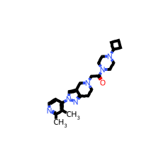 Cc1nccc(-n2cc3c(n2)CCN(CC(=O)N2CCN(C4CCC4)CC2)C3)c1C